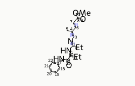 CC\C(=N/C=C(C)/C=C/C(=O)OC)N[C@H](CC)C(=O)Nc1ccccc1